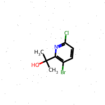 CC(C)(O)c1nc(Cl)ccc1Br